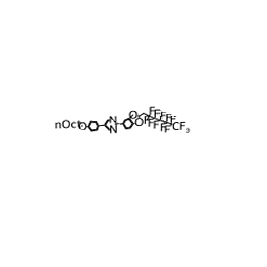 CCCCCCCCOc1ccc(-c2cnc(-c3ccc4c(c3)OC(CC(F)(F)C(F)(F)C(F)(F)C(F)(F)C(F)(F)C(F)(F)F)O4)nc2)cc1